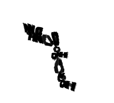 Cn1nccc1C(=O)Nc1ccc(C(=O)c2ccc(NC(=O)c3ccc(N4CCC(O)CC4)cc3)cc2)cc1